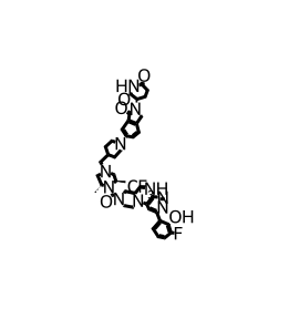 C[C@@H]1CN(CC2CCN(c3ccc4c(c3)C(=O)N([C@@H]3CCC(=O)NC3=O)C4)CC2)C[C@@H](C)N1C(=O)N1CCN2c3cc(-c4cccc(F)c4O)nnc3NC[C@@]2(C(F)(F)F)C1